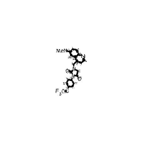 CNc1ccc2nccc(CN3CC(=O)N(c4ccc(OC(F)(F)F)cc4)C3=O)c2c1